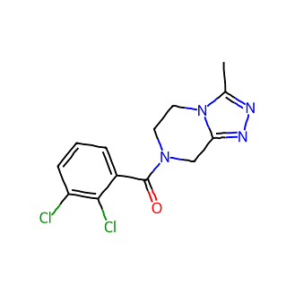 Cc1nnc2n1CCN(C(=O)c1cccc(Cl)c1Cl)C2